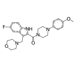 COc1ccc(N2CCN(C(=O)c3[nH]c4ccc(F)cc4c3CN3CCOCC3)CC2)cc1